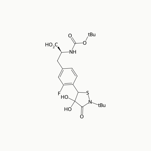 CC(C)(C)OC(=O)N[C@@H](Cc1ccc(C2SN(C(C)(C)C)C(=O)C2(O)O)c(F)c1)C(=O)O